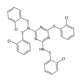 Clc1ccccc1SNc1nc(Sc2ccccc2Cl)nc(N(Sc2ccccc2Cl)Sc2ccccc2Cl)n1